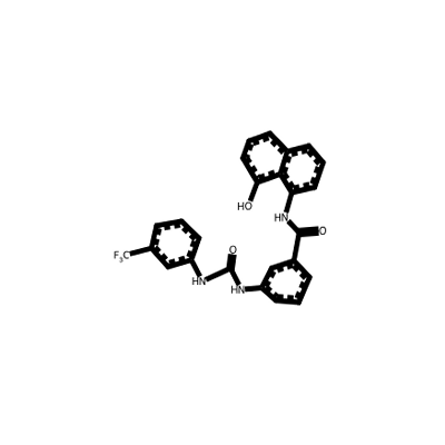 O=C(Nc1cccc(C(=O)Nc2cccc3cccc(O)c23)c1)Nc1cccc(C(F)(F)F)c1